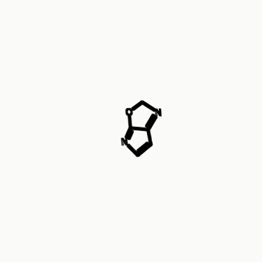 C1=CC2=NCOC2=N1